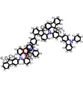 CC1(C)c2ccccc2-c2ccc(N(c3ccccc3-c3cccc4c3c3ccccc3n4-c3ccc(-c4cccc5c4-c4cccc(N(c6ccc(-c7ccc8c(c7)c7ccccc7n8-c7ccccc7)cc6)c6cccc7c6C(C)(C)c6ccccc6-7)c4C5(C)C)cc3)c3cccc4c3C(C)(C)c3ccccc3-4)cc21